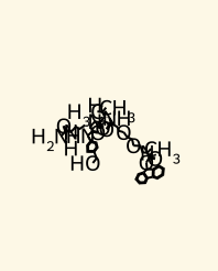 CC(C)[C@H](NC(=O)CCOCCOCCN(C)C(=O)OC1c2ccccc2-c2ccccc21)C(=O)N[C@@H](CCCNC(N)=O)C(=O)Nc1ccc(CO)cc1